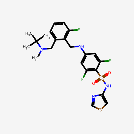 CN(Cc1cccc(F)c1CNc1cc(F)c(S(=O)(=O)Nc2cscn2)c(F)c1)C(C)(C)C